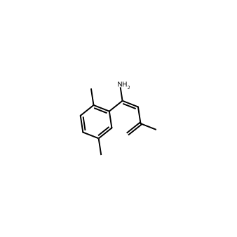 C=C(C)/C=C(/N)c1cc(C)ccc1C